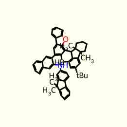 CC(C)(C)c1cc2c3c(c1)C1(C)CCCCC1(C)C3c1c(c(-c3cc4ccccc4cc3Nc3ccc4c(c3)C(C)(C)c3ccccc3-4)cc3c1oc1ccccc13)B2